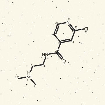 [CH3][SnH]([CH3])[CH2]CNC(=O)c1ccnc(Cl)c1